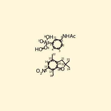 CC(=O)Nc1cccc([As](=O)(O)OO)c1.Cc1cc([N+](=O)[O-])c(C)c2c1CC(C)(C)O2